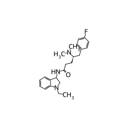 CCN1CC(NC(=O)CC[C@H](Cc2ccc(F)cc2)N(C)C)c2ccccc21